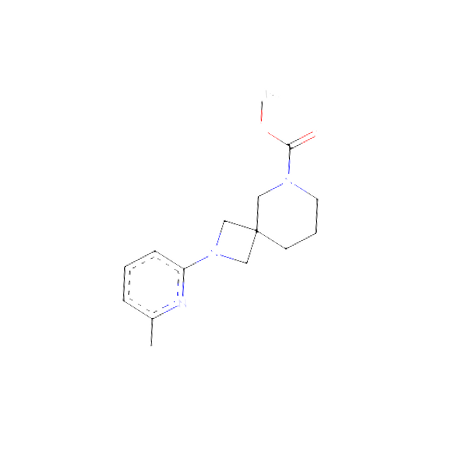 CC(C)(C)OC(=O)N1CCCC2(C1)CN(c1cccc(C(F)(F)F)n1)C2